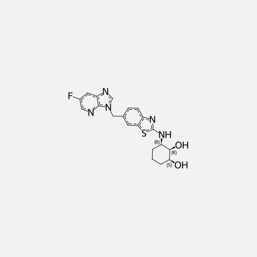 O[C@H]1[C@@H](O)CCC[C@H]1Nc1nc2ccc(Cn3cnc4cc(F)cnc43)cc2s1